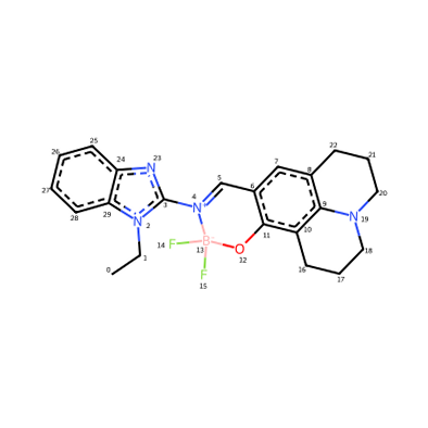 CCn1c([N+]2=Cc3cc4c5c(c3O[B-]2(F)F)CCCN5CCC4)nc2ccccc21